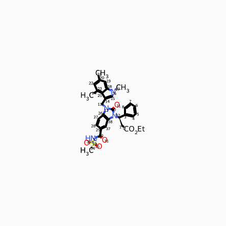 CCOC(=O)C[C@H](c1ccccc1)n1c(=O)n(Cc2cn(C)c3cc(C)cc(C)c23)c2ccc(C(=O)NS(C)(=O)=O)cc21